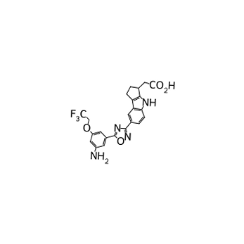 Nc1cc(OCC(F)(F)F)cc(-c2nc(-c3ccc4[nH]c5c(c4c3)CCC5CC(=O)O)no2)c1